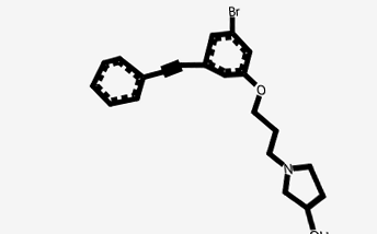 OC1CCN(CCCOc2cc(Br)cc(C#Cc3ccccc3)c2)C1